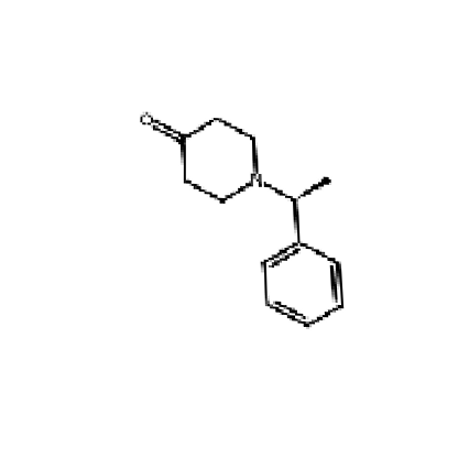 C[C@@H](c1ccccc1)N1CCC(=O)CC1